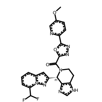 COc1ccc(-c2nnc(C(=O)N3CCc4[nH]cnc4[C@@H]3c3cc4cccc(C(F)F)n4n3)o2)nc1